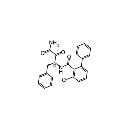 NC(=O)C(=O)[C@H](Cc1ccccc1)NC(=O)c1c(Cl)cccc1-c1ccccc1